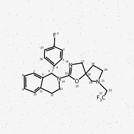 Fc1ccc([C@H]2c3ccccc3CCN2C2=NCC3(CCN(CC(F)(F)F)C3)O2)cc1